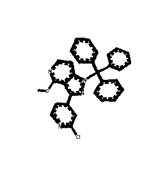 COc1nccc2c1c(-c1ccnc(Cl)c1)nn2C(c1ccccc1)(c1ccccc1)c1ccccc1